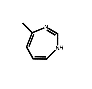 CC1=CC=CNC=N1